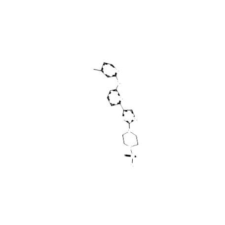 Cc1ccnc(Nc2cccc(-c3cnc(N4CCN(S(N)(=O)=O)CC4)s3)n2)c1